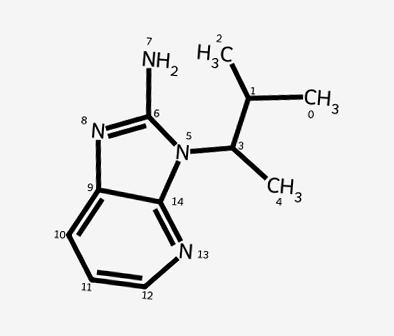 CC(C)C(C)n1c(N)nc2cccnc21